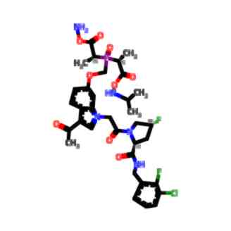 CC(=O)c1cn(CC(=O)N2C[C@H](F)C[C@H]2C(=O)NCc2cccc(Cl)c2F)c2cc(OCP(=O)([C@@H](C)C(=O)ON)[C@@H](C)C(=O)ONC(C)C)ccc12